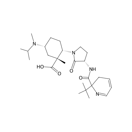 CC(C)N(C)[C@@H]1CC[C@H](N2CC[C@H](NC(=O)C3(C(C)(C)C)CC=CC=N3)C2=O)[C@](C)(C(=O)O)C1